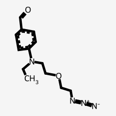 CCN(CCOCCN=[N+]=[N-])c1ccc(C=O)cc1